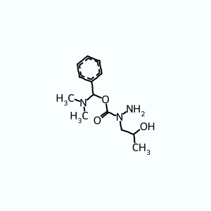 CC(O)CN(N)C(=O)OC(c1ccccc1)N(C)C